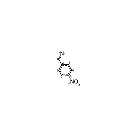 [N]=Cc1ccc([N+](=O)[O-])cc1